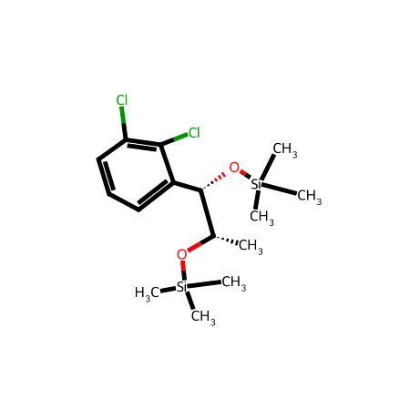 C[C@H](O[Si](C)(C)C)[C@@H](O[Si](C)(C)C)c1cccc(Cl)c1Cl